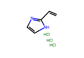 C=Cc1ncc[nH]1.Cl.Cl.Cl